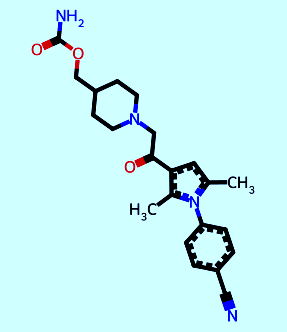 Cc1cc(C(=O)CN2CCC(COC(N)=O)CC2)c(C)n1-c1ccc(C#N)cc1